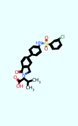 CC(C)C(C(=O)O)N1Cc2cc(-c3ccc(NS(=O)(=O)c4cccc(Cl)c4)cc3)ccc2C1=O